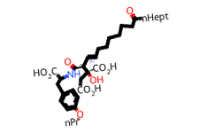 CCCCCCCC(=O)CCCCCC/C=C/[C@H](C(=O)NC(Cc1ccc(OCCC)cc1)C(=O)O)[C@@](O)(CC(=O)O)C(=O)O